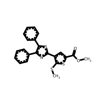 COC(=O)c1cc(-c2nc(-c3ccccc3)c(-c3ccccc3)s2)c(SC)s1